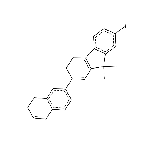 CC1(C)C2=C(CCC(c3ccc4c(c3)CCC=C4)=C2)c2ccc(I)cc21